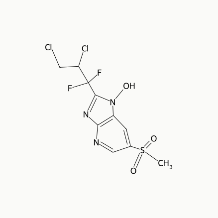 CS(=O)(=O)c1cnc2nc(C(F)(F)C(Cl)CCl)n(O)c2c1